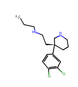 FC(F)(F)CCNCC[C@]1(c2ccc(Cl)c(Cl)c2)CCCNC1